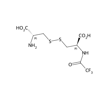 N[C@@H](CSSC[C@H](NC(=O)C(F)(F)F)C(=O)O)C(=O)O